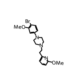 COc1cccc(CCN2CCN(c3ccc(Br)c(OC)c3)CC2)n1